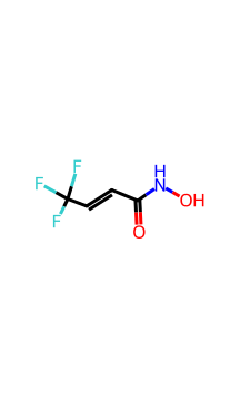 O=C(C=CC(F)(F)F)NO